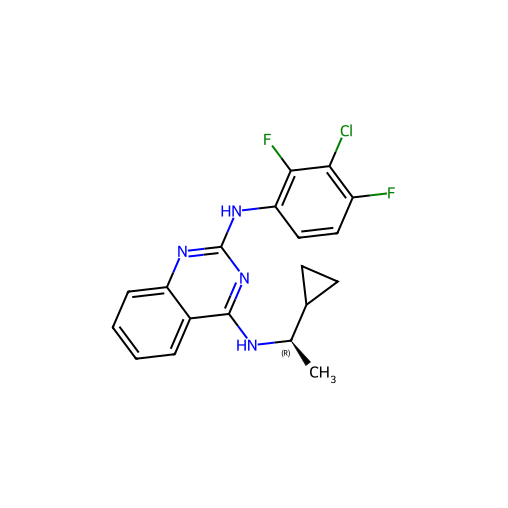 C[C@@H](Nc1nc(Nc2ccc(F)c(Cl)c2F)nc2ccccc12)C1CC1